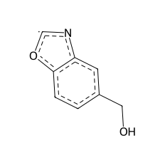 OCc1ccc2o[c]nc2c1